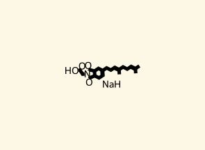 CC(C)=CCC/C(C)=C/CCC1=CCC2C(=O)N(CC(=O)O)C(=O)C2C1.[NaH]